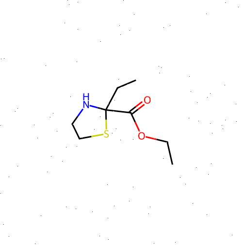 CCOC(=O)C1(CC)NCCS1